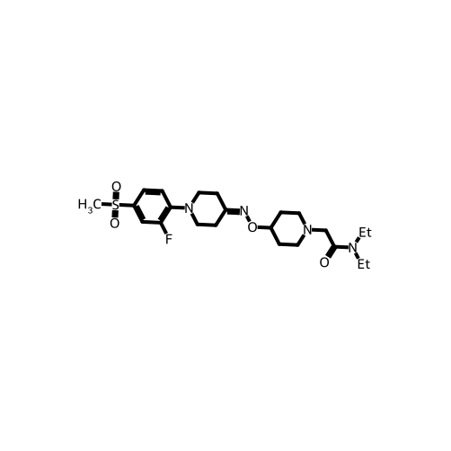 CCN(CC)C(=O)CN1CCC(ON=C2CCN(c3ccc(S(C)(=O)=O)cc3F)CC2)CC1